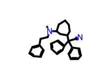 CN(CCc1ccccc1)C1CCCCC(C(C#N)(c2ccccc2)c2ccccc2)C1